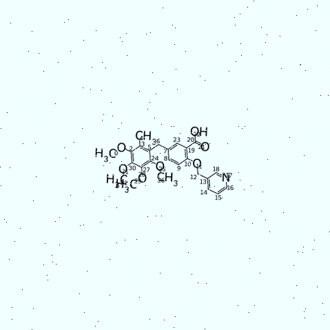 COc1c(C)c(Cc2ccc(OCc3cccnc3)c(C(=O)O)c2)c(OC)c(OC)c1OC